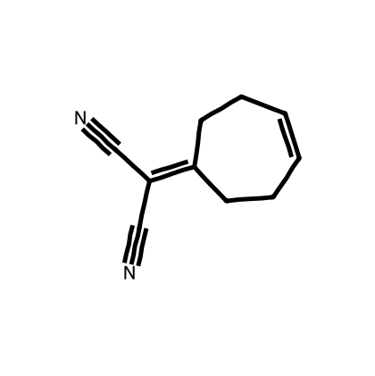 N#CC(C#N)=C1CCC=CCC1